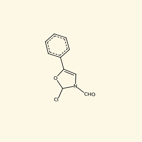 O=CN1C=C(c2ccccc2)OC1Cl